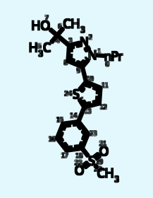 CCCn1nc(C(C)(C)O)cc1-c1ccc(-c2cccc(S(C)(=O)=O)c2)s1